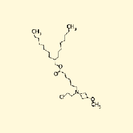 CCCCCCCCC(CCCCCCCC)COC(=O)CCCCCN(CCCl)C1CC(OC)C1